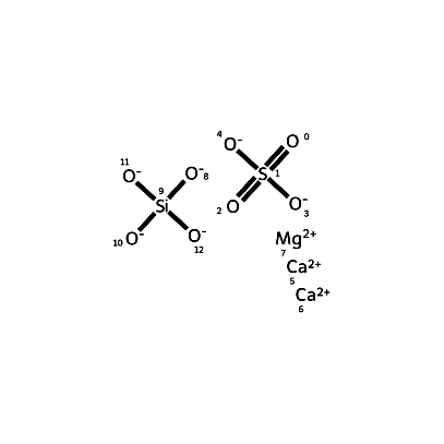 O=S(=O)([O-])[O-].[Ca+2].[Ca+2].[Mg+2].[O-][Si]([O-])([O-])[O-]